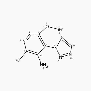 Cc1ncc(OC(C)C)c(-n2ccnn2)c1N